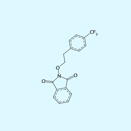 O=C1c2ccccc2C(=O)N1OCCc1ccc(C(F)(F)F)cc1